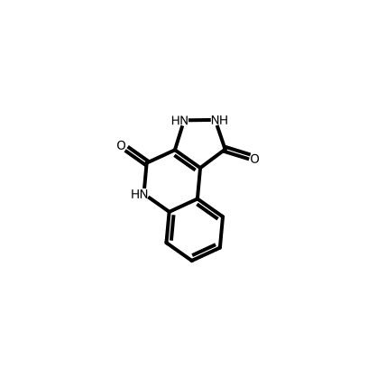 O=c1[nH]c2ccccc2c2c(=O)[nH][nH]c12